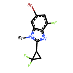 CC(C)n1c(C2CC2(F)F)nc2c(F)cc(Br)cc21